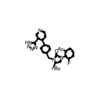 CCCCc1cn(-c2c(F)cccc2C(C)=O)c(=O)n1Cc1ccc(-c2ccncc2-c2nnn[nH]2)cc1